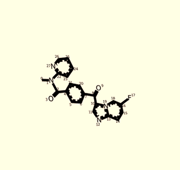 CN(C(=O)c1ccc(C(=O)c2cnc3ccc(F)cn23)cc1)c1ccccn1